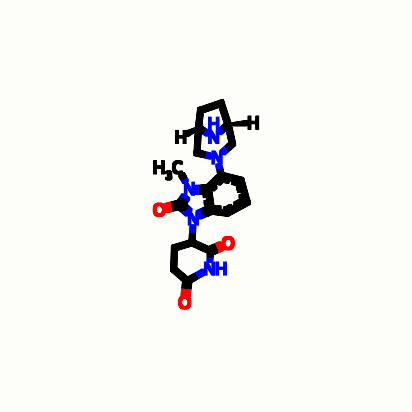 Cn1c(=O)n(C2CCC(=O)NC2=O)c2cccc(N3C[C@H]4CC[C@@H](C3)N4)c21